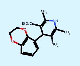 CCOC(=O)C1=C(C)NC(C)=C([N+](=O)[O-])C1c1cccc2c1OCCO2